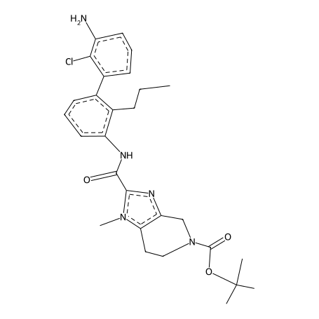 CCCc1c(NC(=O)c2nc3c(n2C)CCN(C(=O)OC(C)(C)C)C3)cccc1-c1cccc(N)c1Cl